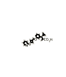 C[C@H](C(=O)O)[C@H](c1cccc(OCC2CC(Oc3ccccn3)C2)c1)C1CC1